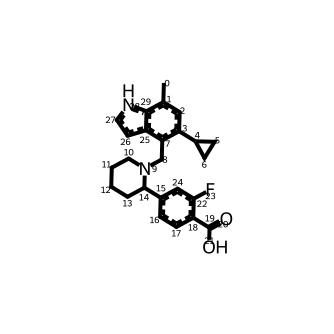 Cc1cc(C2CC2)c(CN2CCCCC2c2ccc(C(=O)O)c(F)c2)c2cc[nH]c12